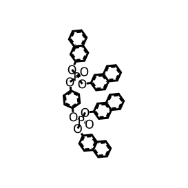 O=P(Oc1ccc(OP(=O)(Oc2ccc3ccccc3c2)Oc2ccc3ccccc3c2)cc1)(Oc1ccc2ccccc2c1)Oc1ccc2ccccc2c1